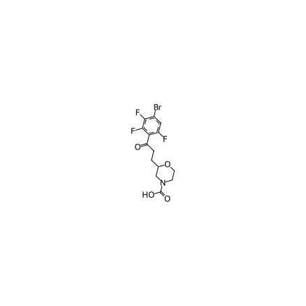 O=C(CCC1CN(C(=O)O)CCO1)c1c(F)cc(Br)c(F)c1F